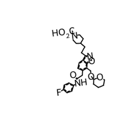 O=C(Cc1ccc2c(CCC3CCN(C(=O)O)CC3)noc2c1COC1CCCCO1)Nc1ccc(F)cc1